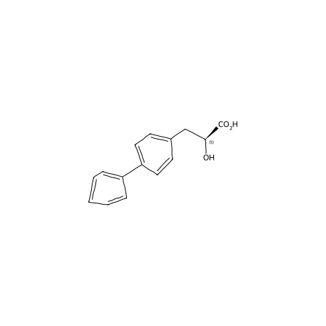 O=C(O)[C@@H](O)Cc1ccc(-c2ccccc2)cc1